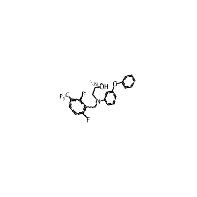 C[C@H](O)CN(Cc1c(F)ccc(C(F)(F)F)c1F)c1cccc(Oc2ccccc2)c1